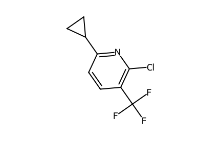 FC(F)(F)c1ccc(C2CC2)nc1Cl